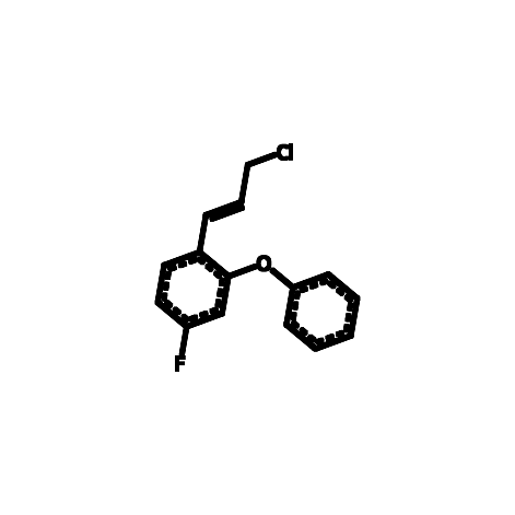 Fc1ccc(/C=C/CCl)c(Oc2ccccc2)c1